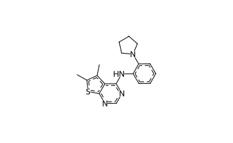 Cc1sc2ncnc(Nc3ccccc3N3CCCC3)c2c1C